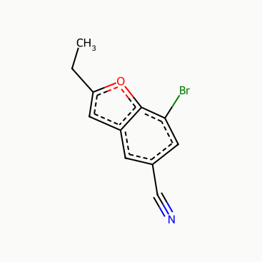 CCc1cc2cc(C#N)cc(Br)c2o1